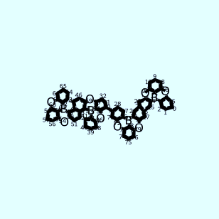 c1ccc2c(c1)Oc1cccc3c1B2c1cc2cc4c(cc2cc1O3)B1c2ccc(-c3ccc5c6c3Oc3ccccc3B6c3c(ccc6c7c(ccc36)Oc3cccc6c3B7c3ccccc3O6)O5)cc2Oc2cccc(c21)O4